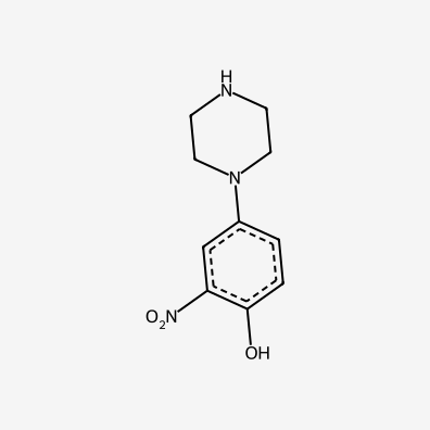 O=[N+]([O-])c1cc(N2CCNCC2)ccc1O